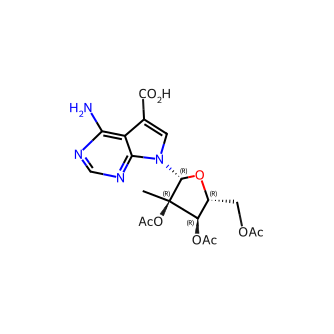 CC(=O)OC[C@H]1O[C@@H](n2cc(C(=O)O)c3c(N)ncnc32)[C@](C)(OC(C)=O)[C@@H]1OC(C)=O